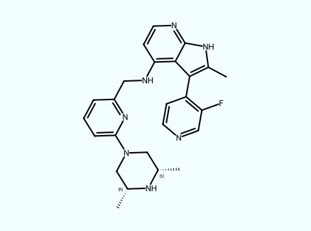 Cc1[nH]c2nccc(NCc3cccc(N4C[C@@H](C)N[C@@H](C)C4)n3)c2c1-c1ccncc1F